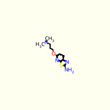 CN(C)CCCOc1ccc2nc(N)sc2n1